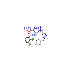 NC(=O)c1nnc(Nc2cnn(CC3CCOCC3)c2)cc1NCc1cccc(F)c1F